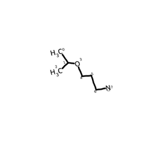 CC(C)OCCC[N]